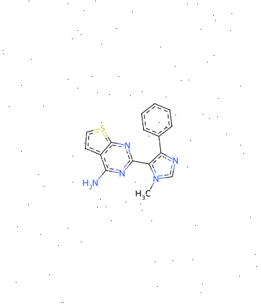 Cn1cnc(-c2ccccc2)c1-c1nc(N)c2ccsc2n1